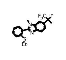 CCSc1ccccc1-c1nc2ccc(C(C)(F)C(F)(F)F)cc2n1C